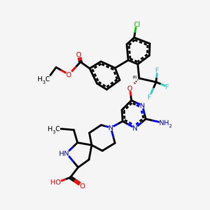 CCOC(=O)c1cccc(-c2cc(Cl)ccc2[C@@H](Oc2cc(N3CCC4(CC3)CC(C(=O)O)NC4CC)nc(N)n2)C(F)(F)F)c1